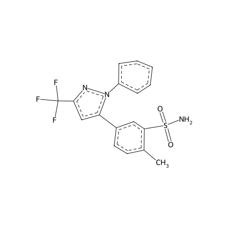 Cc1ccc(-c2cc(C(F)(F)F)nn2-c2ccccc2)cc1S(N)(=O)=O